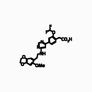 COc1cc2c(cc1CCNc1cc(-c3ccc(CC(=O)O)c(OC(F)F)c3)ncn1)OCCO2